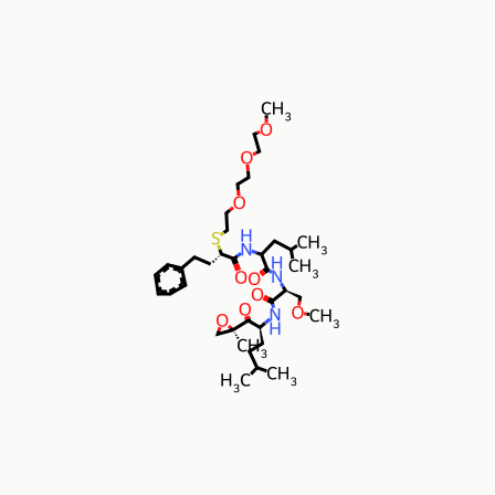 COCCOCCOCCS[C@@H](CCc1ccccc1)C(=O)NC(CC(C)C)C(=O)N[C@@H](COC)C(=O)N[C@@H](CCC(C)C)C(=O)[C@@]1(C)CO1